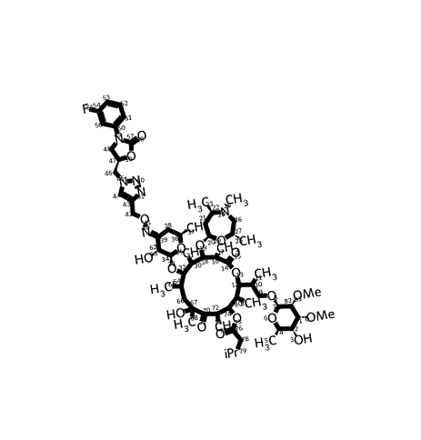 CO[C@@H]1[C@H](O)[C@@H](C)O[C@@H](OCC(C)C2OC(=O)C(C)C(O[C@H]3C[C@@H](C)N(C)C[C@H](C)O3)C(C)C(O[C@@H]3O[C@H](C)CC(=NOCc4cn(C[C@H]5CN(c6cccc(F)c6)C(=O)O5)nn4)[C@H]3O)C(C)CC(C)(O)C(=O)C(C)C(OC(=O)CC(C)C)C2C)[C@@H]1OC